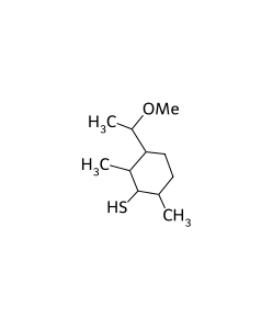 COC(C)C1CCC(C)C(S)C1C